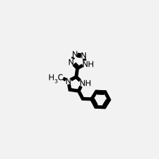 CN1CC(Cc2ccccc2)NC1c1nnn[nH]1